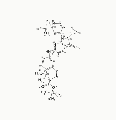 CC(C)(C)OC(=O)N1CCc2cc(Nc3ncc4c(=O)n(C5CC5)n(-c5ccnc(C(C)(C)F)c5)c4n3)ccc2C1(C)C